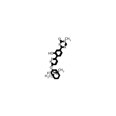 CN1[C@]2(C)CCC[C@@]1(C)[C@H](F)[C@H](Oc1ccc(-c3ccc(-c4ncn(C)c(=O)n4)cc3O)nn1)C2